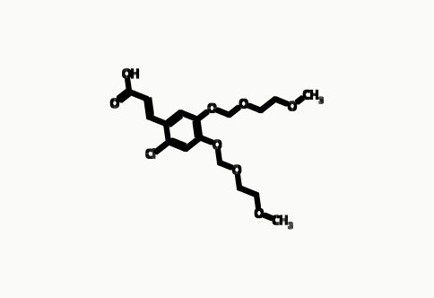 COCCOCOc1cc(Cl)c(C=CC(=O)O)cc1OCOCCOC